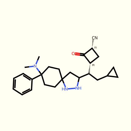 CN(C)C1(c2ccccc2)CCC2(CC1)CC(C(CC1CC1)[C@H]1C[C@@H](C#N)C1=O)NN2